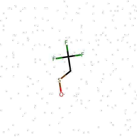 [O]SCC(F)(F)F